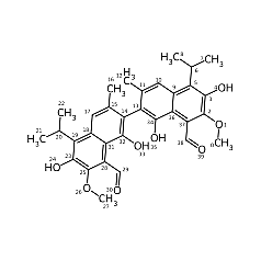 COc1c(O)c(C(C)C)c2cc(C)c(-c3c(C)cc4c(C(C)C)c(O)c(OC)c(C=O)c4c3O)c(O)c2c1C=O